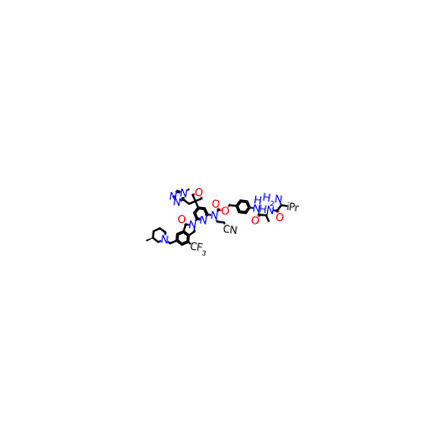 CC(NC(=O)C(N)C(C)C)C(=O)Nc1ccc(COC(=O)N(CCC#N)c2cc(C3(Cc4nncn4C)COC3)cc(N3Cc4c(cc(CN5CCC[C@H](C)C5)cc4C(F)(F)F)C3=O)n2)cc1